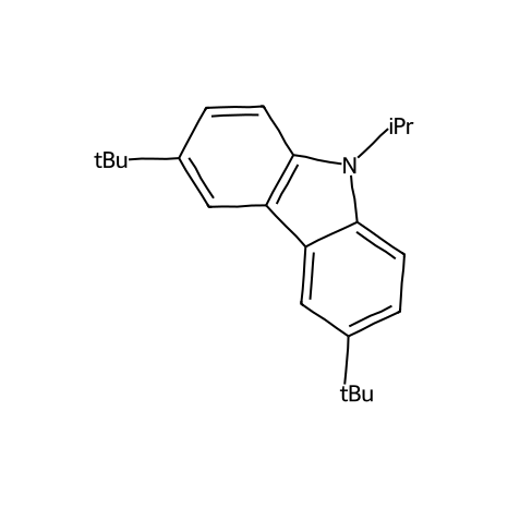 CC(C)n1c2ccc(C(C)(C)C)cc2c2cc(C(C)(C)C)ccc21